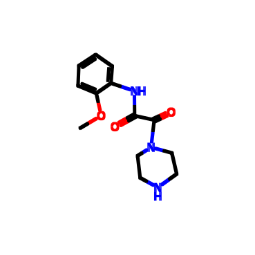 COc1ccccc1NC(=O)C(=O)N1CCNCC1